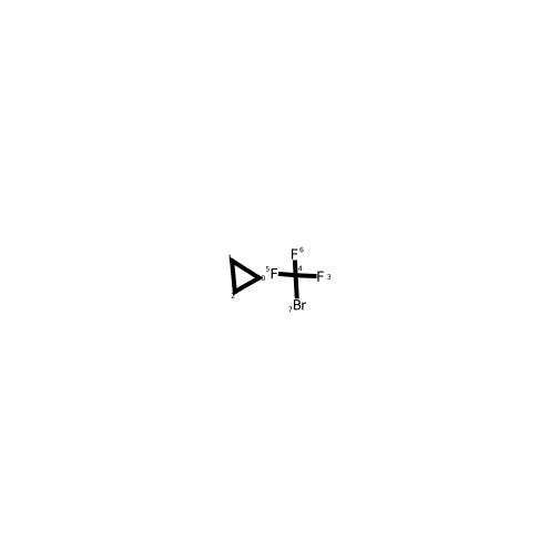 C1CC1.FC(F)(F)Br